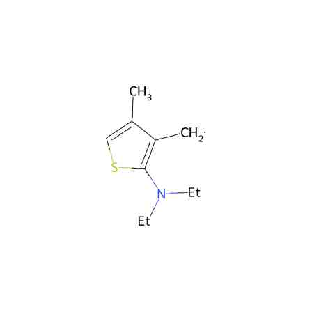 [CH2]c1c(C)csc1N(CC)CC